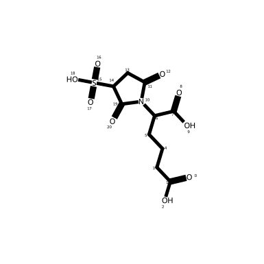 O=C(O)CCCC(C(=O)O)N1C(=O)CC(S(=O)(=O)O)C1=O